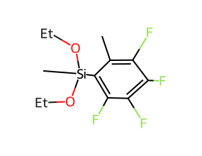 CCO[Si](C)(OCC)c1c(C)c(F)c(F)c(F)c1F